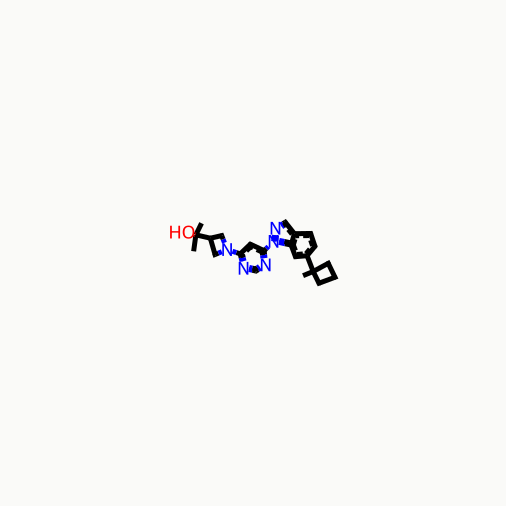 CC1(c2ccc3cnn(-c4cc(N5CC(C(C)(C)O)C5)ncn4)c3c2)CCC1